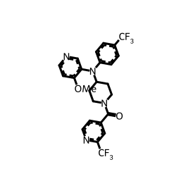 COc1ccncc1N(c1ccc(C(F)(F)F)cc1)C1CCN(C(=O)c2ccnc(C(F)(F)F)c2)CC1